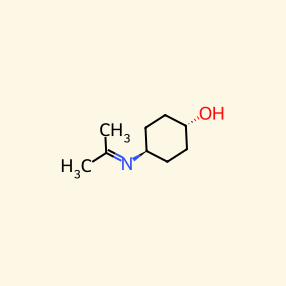 CC(C)=N[C@H]1CC[C@H](O)CC1